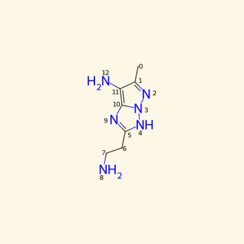 Cc1nn2[nH]c(CCN)nc2c1N